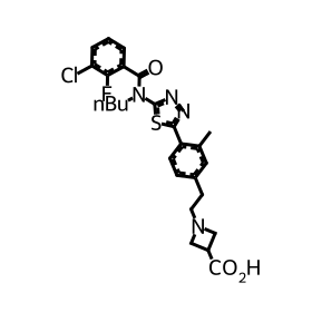 CCCCN(C(=O)c1cccc(Cl)c1F)c1nnc(-c2ccc(CCN3CC(C(=O)O)C3)cc2C)s1